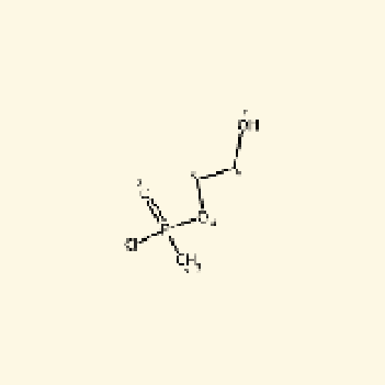 CP(=O)(Cl)OCCO